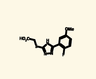 COc1ccc(F)c(-c2nnc(SCC(=O)O)[nH]2)c1